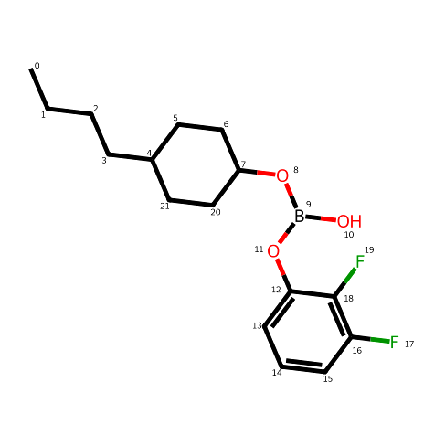 CCCCC1CCC(OB(O)Oc2cccc(F)c2F)CC1